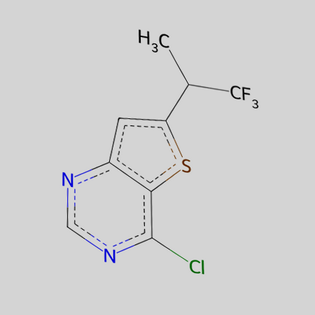 CC(c1cc2ncnc(Cl)c2s1)C(F)(F)F